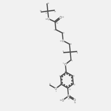 COc1cc(OCC(C)(C)COCCC(=O)OC(C)(C)C)ccc1[N+](=O)[O-]